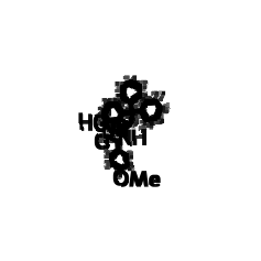 COc1ccc([C@@H](NC(=O)CC(c2ccccc2)(c2ccccc2)c2ccccc2)C(=O)NO)cc1